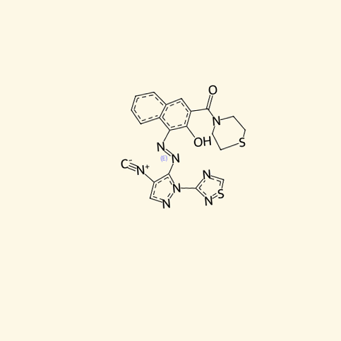 [C-]#[N+]c1cnn(-c2ncsn2)c1/N=N/c1c(O)c(C(=O)N2CCSCC2)cc2ccccc12